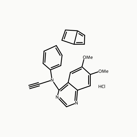 C#CN(c1ccccc1)c1ncnc2cc(OC)c(OC)cc12.Cl.c1cc2ccc1-2